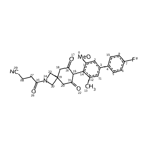 COc1cc(-c2ccc(F)cc2)cc(C)c1C1C(=O)CC2(CC1=O)CN(C(=O)CCC#N)C2